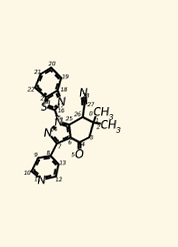 CC1(C)CC(=O)c2c(-c3ccncc3)nn(-c3nc4ccccc4s3)c2C1C#N